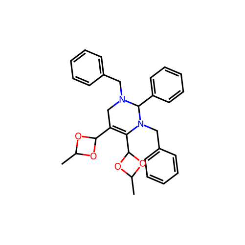 CC1OC(C2=C(C3OC(C)O3)N(Cc3ccccc3)C(c3ccccc3)N(Cc3ccccc3)C2)O1